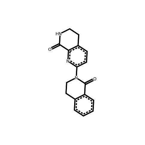 O=C1NCCc2ccc(N3CCc4ccccc4C3=O)nc21